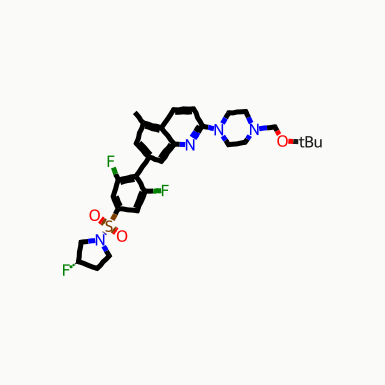 Cc1cc(-c2c(F)cc(S(=O)(=O)N3CC[C@H](F)C3)cc2F)cc2nc(N3CCN(COC(C)(C)C)CC3)ccc12